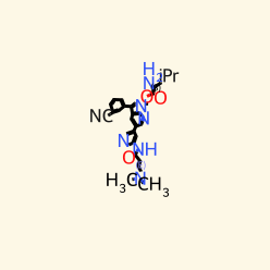 CC(C)C[C@H](N)C(=O)OCn1cc(-c2cccc(C#N)c2)c2cc(-c3cncc(NC(=O)/C=C/CN(C)C)c3)cnc21